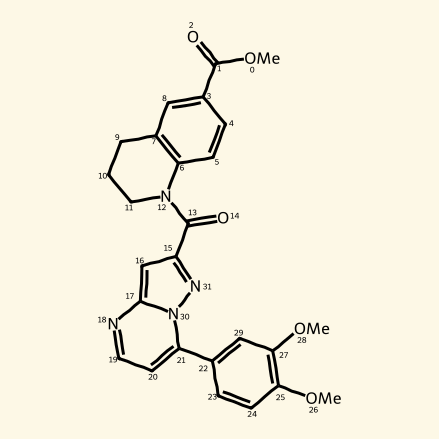 COC(=O)c1ccc2c(c1)CCCN2C(=O)c1cc2nccc(-c3ccc(OC)c(OC)c3)n2n1